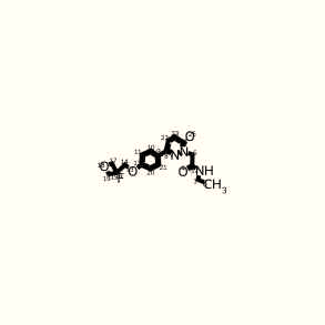 CCNC(=O)Cn1nc(-c2ccc(OCC3(F)COC3)cc2)ccc1=O